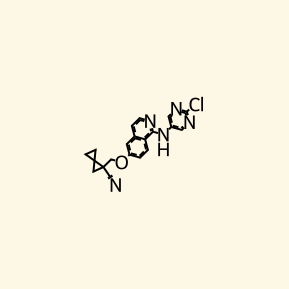 N#CC1(COc2ccc3c(Nc4cnc(Cl)nc4)nccc3c2)CC12CC2